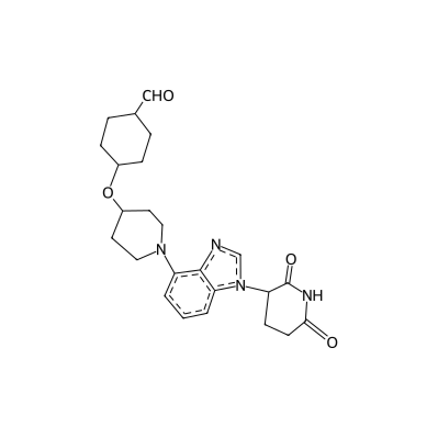 O=CC1CCC(OC2CCN(c3cccc4c3ncn4C3CCC(=O)NC3=O)CC2)CC1